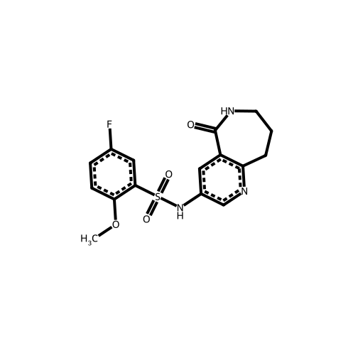 COc1ccc(F)cc1S(=O)(=O)Nc1cnc2c(c1)C(=O)NCCC2